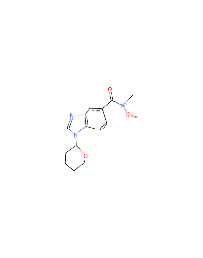 CON(C)C(=O)c1ccc2c(c1)ncn2C1CCCCO1